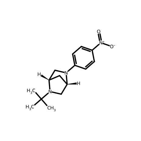 CC(C)(C)N1C[C@@H]2C[C@H]1CN2c1ccc([N+](=O)[O-])cc1